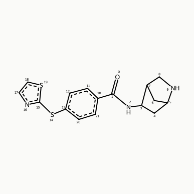 O=C(NC1CC2CC1CN2)c1ccc(Sc2nccs2)cc1